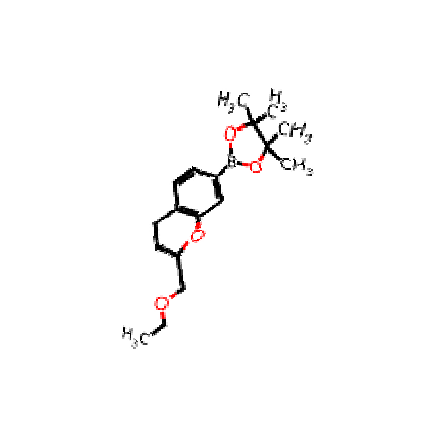 CCOCC1CCc2ccc(B3OC(C)(C)C(C)(C)O3)cc2O1